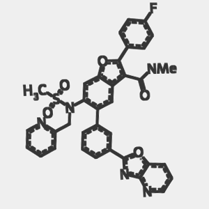 CNC(=O)c1c(-c2ccc(F)cc2)oc2cc(N(Cc3ccccn3)S(C)(=O)=O)c(-c3cccc(-c4nc5ncccc5o4)c3)cc12